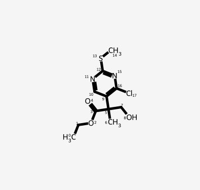 CCOC(=O)C(C)(CO)c1cnc(SC)nc1Cl